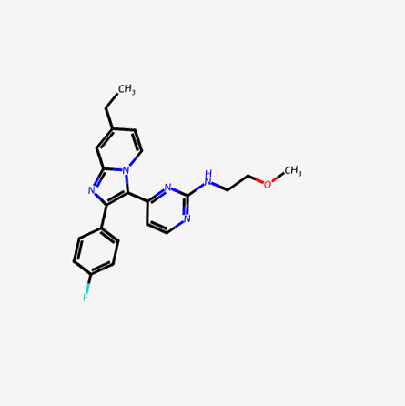 CCc1ccn2c(-c3ccnc(NCCOC)n3)c(-c3ccc(F)cc3)nc2c1